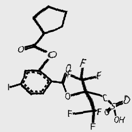 O=C(OC(CS(=O)(=O)O)(C(F)(F)F)C(F)(F)F)c1ccc(I)cc1OC(=O)C1CCCC1